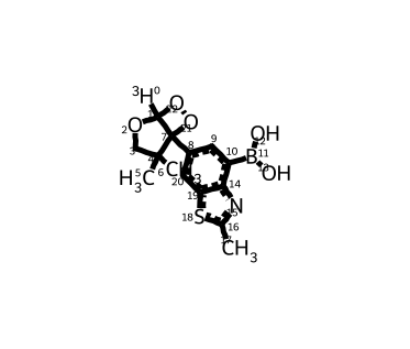 [3H]C12OCC(C)(C)C1(c1cc(B(O)O)c3nc(C)sc3c1)OO2